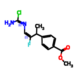 COC(=O)c1ccc(C(C)/C(F)=C\N=C(/N)Cl)cc1